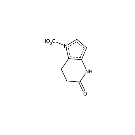 O=C1CCc2c(ccn2C(=O)O)N1